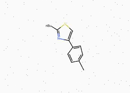 [CH2]CCCc1nc(-c2ccc(C)cc2)cs1